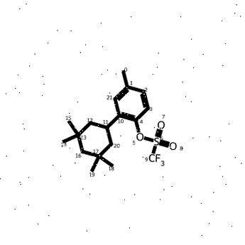 Cc1ccc(OS(=O)(=O)C(F)(F)F)c(C2CC(C)(C)CC(C)(C)C2)c1